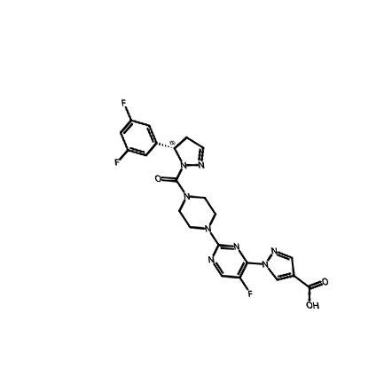 O=C(O)c1cnn(-c2nc(N3CCN(C(=O)N4N=CC[C@H]4c4cc(F)cc(F)c4)CC3)ncc2F)c1